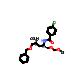 CCOCOC[C@H](C[C@H](COCc1ccccc1)C(=O)O)NC(=O)c1ccc(Cl)cc1